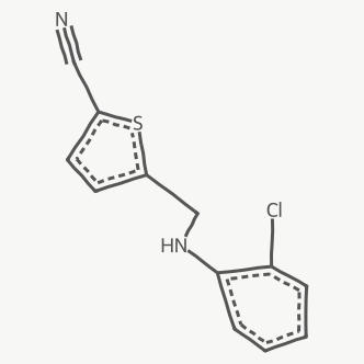 N#Cc1ccc(CNc2ccccc2Cl)s1